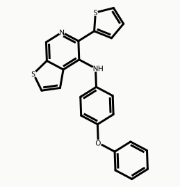 c1ccc(Oc2ccc(Nc3c(-c4cccs4)ncc4sccc34)cc2)cc1